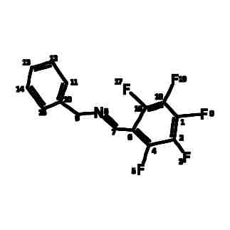 Fc1c(F)c(F)c(C=NCc2ccccc2)c(F)c1F